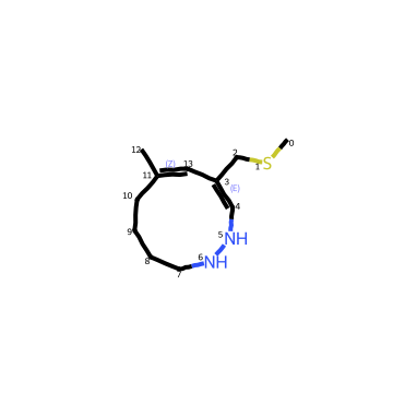 CSCC1=C/NNCCCC/C(C)=C\1